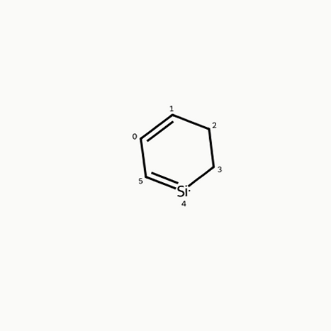 C1=CCC[Si]=C1